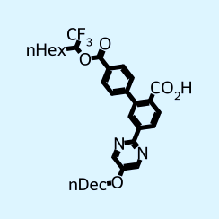 CCCCCCCCCCOc1cnc(-c2ccc(C(=O)O)c(-c3ccc(C(=O)OC(CCCCCC)C(F)(F)F)cc3)c2)nc1